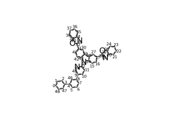 c1ccc(-c2cccc(-c3ccc(-n4c5ccc(-c6nc7ccccc7o6)cc5c5cc(-c6nc7ccccc7o6)ccc54)nc3)c2)cc1